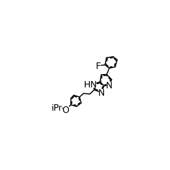 CC(C)Oc1ccc(CCc2nc3ncc(-c4ccccc4F)cc3[nH]2)cc1